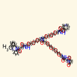 C/C1=C/c2ccccc2N(C(=O)CCC(=O)NCCOCCOCCOCCN(CCOCCOCCOCCNC(=O)O[C@H]2CC/C=C/CCC2)C(=O)CCOCCOCCOCCOCCNC(=O)CCN2C(=O)C=CC2=O)Cc2ccccc21